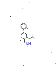 C=C(/C=C(CC(C)C)\C(C)=C/NC)c1ccccc1C